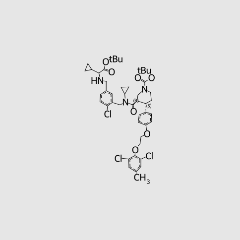 Cc1cc(Cl)c(OCCOc2ccc([C@H]3CCN(C(=O)OC(C)(C)C)C[C@@H]3C(=O)N(Cc3cc(CNC(C(=O)OC(C)(C)C)C4CC4)ccc3Cl)C3CC3)cc2)c(Cl)c1